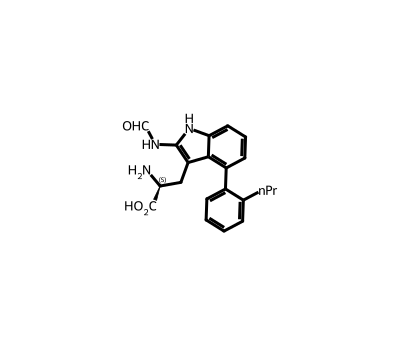 CCCc1ccccc1-c1cccc2[nH]c(NC=O)c(C[C@H](N)C(=O)O)c12